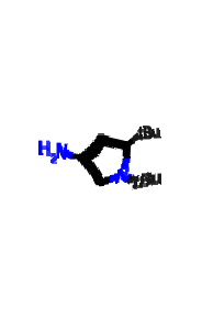 CC(C)(C)[C@@H]1C[C@H](N)CN1C(C)(C)C